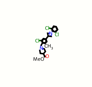 COC(=O)C1CCN(Cc2c(C)cc(C3CN(c4c(Cl)cccc4Cl)C3)cc2Cl)CC1